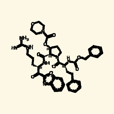 N=C(N)NCCC[C@H](NC(=O)[C@@H]1[C@@H](OC(=O)N2CCOCC2)CCN1C(=O)[C@@H](CCc1ccccc1)NC(=O)OCc1ccccc1)C(=O)c1nc2ccccc2o1